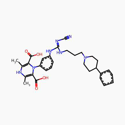 CC1=C(C(=O)O)N(c2cccc(N/C(=N/C#N)NCCCN3CCC(c4ccccc4)CC3)c2)C(C(=O)O)=C(C)N1